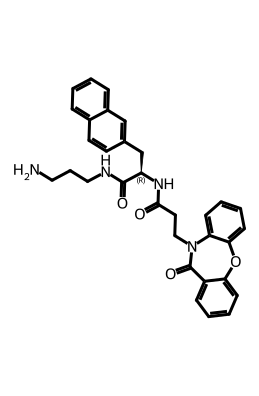 NCCCNC(=O)[C@@H](Cc1ccc2ccccc2c1)NC(=O)CCN1C(=O)c2ccccc2Oc2ccccc21